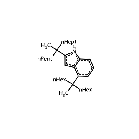 CCCCCCCC(C)(CCCCC)c1cc2c(C(C)(CCCCCC)CCCCCC)cccc2[nH]1